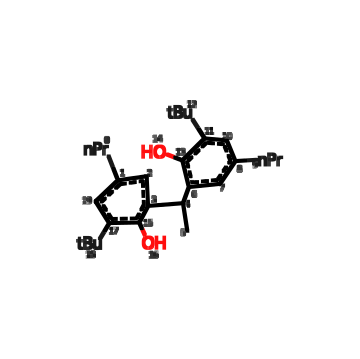 CCCc1cc(C(C)c2cc(CCC)cc(C(C)(C)C)c2O)c(O)c(C(C)(C)C)c1